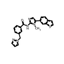 Cn1c(-c2ccc3ccsc3c2)cnc1NC(=O)c1cccc(Cn2cccn2)c1